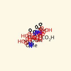 COC(=O)C1O[C@@H](O[C@@H]2C(CO)O[C@H](OC)C(N=[N+]=[N-])[C@H]2OCc2ccccc2)C(O)[C@H](OCc2ccccc2)[C@H]1O[C@@H]1OC(CO)[C@@H](O[C@@H]2OC(C(=O)O)[C@@H](O[C@H]3OC(CO)[C@@H](OCc4ccccc4)[C@H](OCc4ccccc4)C3N=[N+]=[N-])[C@H](OCc3ccccc3)C2OCc2ccccc2)[C@H](O)C1N=[N+]=[N-]